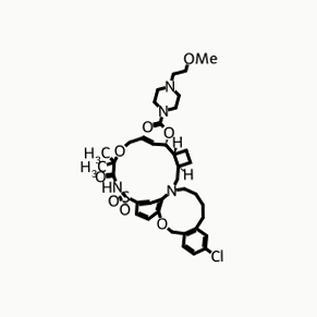 COCCN1CCN(C(=O)O[C@H]2/C=C/COC(C)(C)C(=O)NS(=O)(=O)c3ccc4c(c3)N(CCCCc3cc(Cl)ccc3CO4)C[C@@H]3CC[C@H]32)CC1